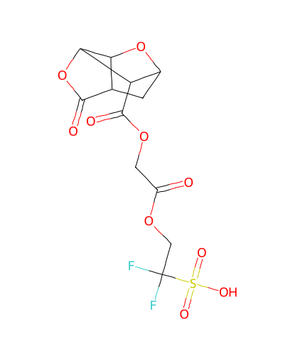 O=C(COC(=O)C1C2CC3C(=O)OC1C3O2)OCC(F)(F)S(=O)(=O)O